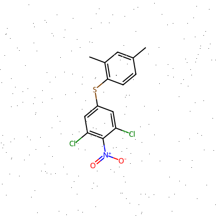 Cc1ccc(Sc2cc(Cl)c([N+](=O)[O-])c(Cl)c2)c(C)c1